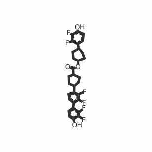 O=C(OC1CCC(c2ccc(O)c(F)c2F)CC1)C1CCC(c2ccc(-c3ccc(O)c(F)c3F)c(F)c2F)CC1